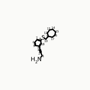 NCC#Cc1cccc(SCC2CCCCCC2)c1